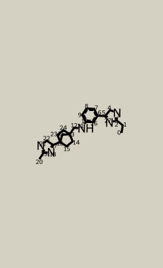 CCC1=NCC(c2cccc(NCC34CCC(C5=NC(C)=NC5)(CC3)C4)c2)=N1